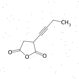 CCC#CC1CC(=O)OC1=O